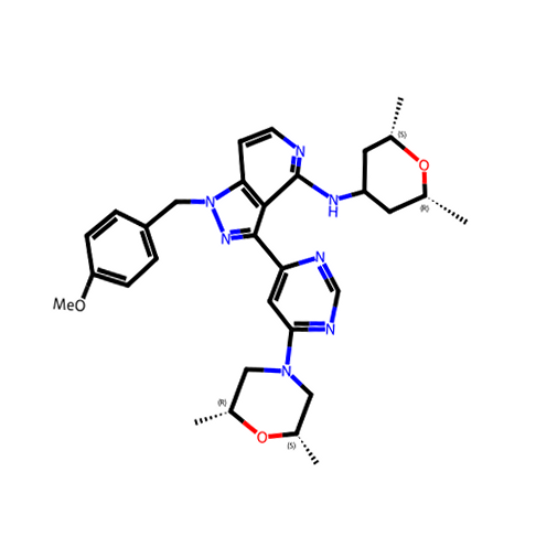 COc1ccc(Cn2nc(-c3cc(N4C[C@@H](C)O[C@@H](C)C4)ncn3)c3c(NC4C[C@@H](C)O[C@@H](C)C4)nccc32)cc1